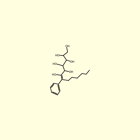 CCCCCCC(=C(O)C(O)C(O)C(O)C(O)CO)c1ccccc1